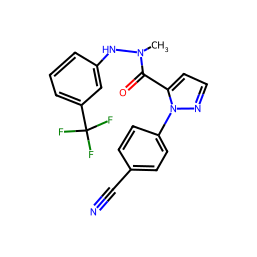 CN(Nc1cccc(C(F)(F)F)c1)C(=O)c1ccnn1-c1ccc(C#N)cc1